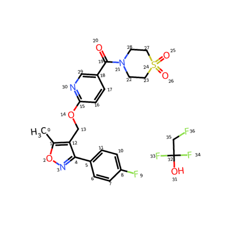 Cc1onc(-c2ccc(F)cc2)c1COc1ccc(C(=O)N2CCS(=O)(=O)CC2)cn1.OC(F)(F)CF